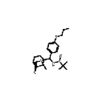 CCCSc1ccc(C(N[S+]([O-])C(C)(C)C)C23CCC(CC2)C(=O)N3C)cc1